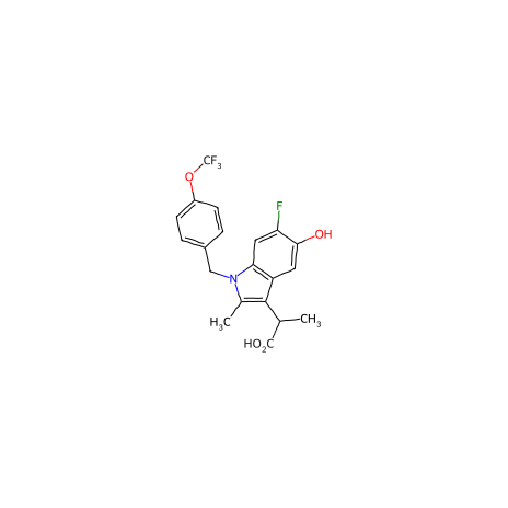 Cc1c(C(C)C(=O)O)c2cc(O)c(F)cc2n1Cc1ccc(OC(F)(F)F)cc1